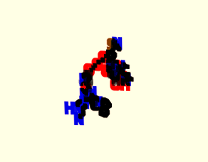 Cc1cc(C(C(=O)N2C[C@H](O)C[C@H]2C(=O)NCc2ccc(-c3scnc3C)cc2OCCOCCO[C@@H]2C[C@@H](COc3nc4c(c(N5CCNC(CC#N)C5)n3)CCN(c3cccc5ccccc35)C4)N(C)C2)C(C)C)on1